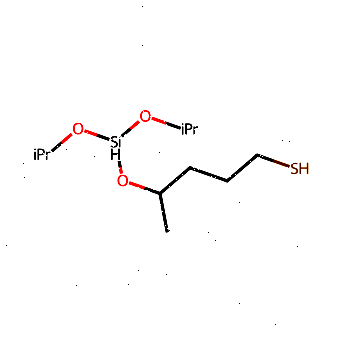 CC(C)O[SiH](OC(C)C)OC(C)CCCS